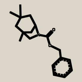 CC1(C)CC2CC(C)(CN2C(=O)OCc2ccccc2)C1